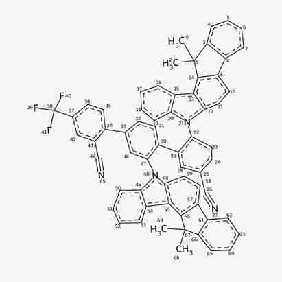 CC1(C)c2ccccc2-c2ccc3c(c21)c1ccccc1n3-c1ccc(C#N)cc1-c1ccc(-c2ccc(C(F)(F)F)cc2C#N)cc1-n1c2ccccc2c2c3c(ccc21)-c1ccccc1C3(C)C